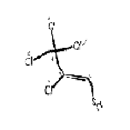 SC=C(Cl)C(Cl)(Cl)Cl